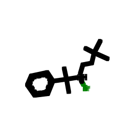 CC(C)(C)CC[SiH](Br)C(C)(C)c1ccccc1